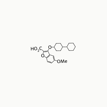 COc1ccc2oc(C(=O)O)c(OC3CCC(C4CCCCC4)CC3)c2c1